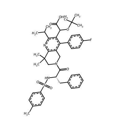 Cc1ccc(S(=O)(=O)N[C@@H](Cc2ccccc2)C(=O)N2Cc3c(nc(C(C)C)c(C(OC(C)(C)C)C(=O)O)c3-c3ccc(F)cc3)C(C)(C)C2)cc1